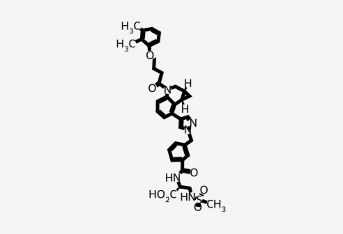 Cc1cccc(OCCCC(=O)N2C[C@@H]3C[C@@H]3c3c(-c4cnn(Cc5cccc(C(=O)N[C@@H](CNS(C)(=O)=O)C(=O)O)c5)c4)cccc32)c1C